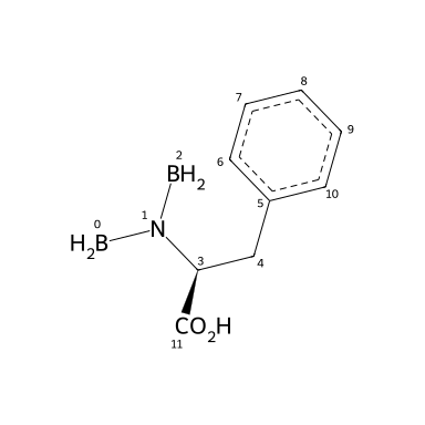 BN(B)[C@@H](Cc1ccccc1)C(=O)O